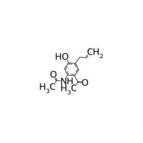 C=CCc1cc(C(C)=O)c(NC(C)=O)cc1O